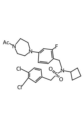 CC(=O)N1CCN(c2ccc(CN(C3CCC3)S(=O)(=O)Cc3ccc(Cl)c(Cl)c3)c(F)c2)CC1